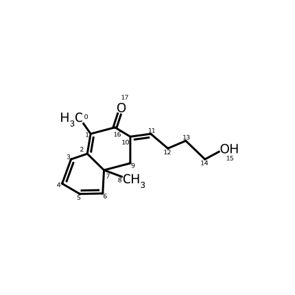 CC1=C2C=CC=CC2(C)CC(=CCCCO)C1=O